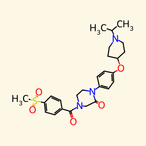 CC(C)N1CCC(Oc2ccc(N3CCN(C(=O)c4ccc(S(C)(=O)=O)cc4)CC3=O)cc2)CC1